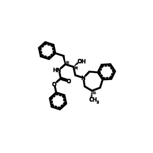 C[C@H]1Cc2ccccc2CN(C[C@@H](O)[C@H](Cc2ccccc2)NC(=O)Oc2ccccc2)C1